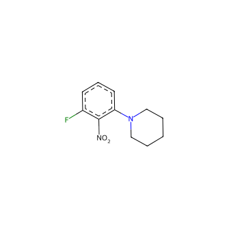 O=[N+]([O-])c1c(F)cccc1N1CCCCC1